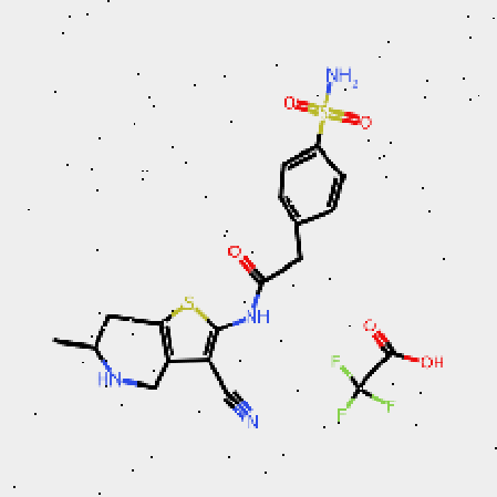 CC1Cc2sc(NC(=O)Cc3ccc(S(N)(=O)=O)cc3)c(C#N)c2CN1.O=C(O)C(F)(F)F